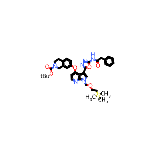 CC(C)(C)OC(=O)N1CCc2ccc(Oc3ccnc4c3c(-c3nnc(NC(=O)Cc5ccccc5)o3)cn4COCCS(C)(C)C)cc2C1